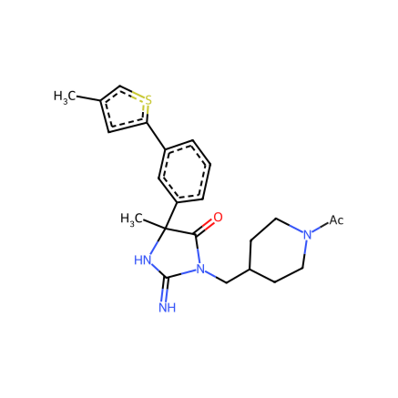 CC(=O)N1CCC(CN2C(=N)NC(C)(c3cccc(-c4cc(C)cs4)c3)C2=O)CC1